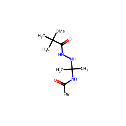 COC(C)(C)C(=O)NNC(C)(C)NC(=O)C(C)(C)C